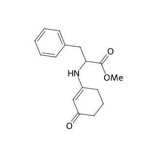 COC(=O)C(Cc1ccccc1)NC1=CC(=O)CCC1